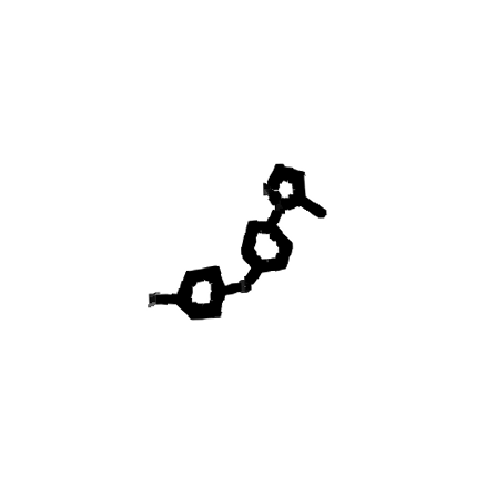 Cc1ccnn1-c1ccc(Oc2ccc(F)cc2)cc1